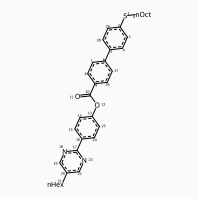 CCCCCCCCSc1ccc(-c2ccc(C(=O)Oc3ccc(-c4ncc(CCCCCC)cn4)cc3)cc2)cc1